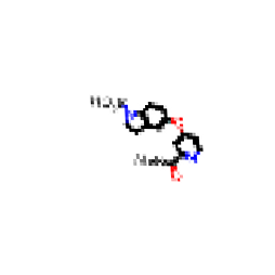 CNC(=O)c1cc(Oc2ccc3c(c2)CCN3C(=O)O)ccn1